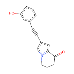 O=C1CCCn2cc(C#Cc3cccc(O)c3)cc21